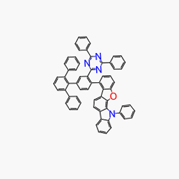 c1ccc(-c2nc(-c3ccccc3)nc(-c3cc(-c4c(-c5ccccc5)cccc4-c4ccccc4)ccc3-c3cccc4oc5c(ccc6c7ccccc7n(-c7ccccc7)c65)c34)n2)cc1